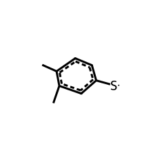 Cc1ccc([S])cc1C